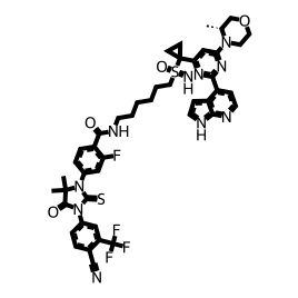 C[C@@H]1COCCN1c1cc(C2(S(=N)(=O)CCCCCCNC(=O)c3ccc(N4C(=S)N(c5ccc(C#N)c(C(F)(F)F)c5)C(=O)C4(C)C)cc3F)CC2)nc(-c2ccnc3[nH]ccc23)n1